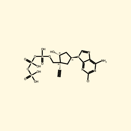 C#C[C@@]1(COP(=O)(O)OP(=O)(O)OP(=O)(O)O)C[C@H](n2cnc3c(N)nc(Cl)nc32)C[C@H]1O